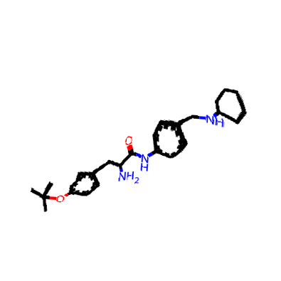 CC(C)(C)Oc1ccc(CC(N)C(=O)Nc2ccc(CNC3CCCCC3)cc2)cc1